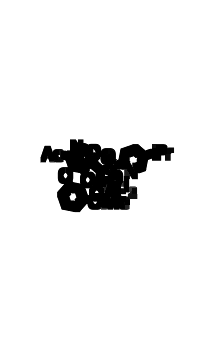 COc1cccc(Oc2c(OC(N)(OC(C)=O)C(c3ccco3)S(=O)(=O)c3ccc(C(C)C)cn3)ncnc2C(C)=O)c1